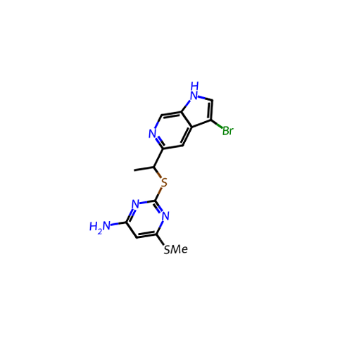 CSc1cc(N)nc(SC(C)c2cc3c(Br)c[nH]c3cn2)n1